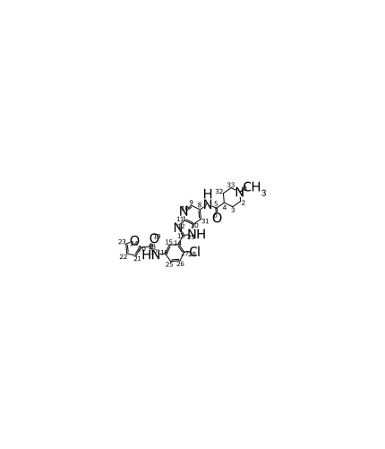 CN1CCC(C(=O)Nc2cnc3nc(-c4cc(NC(=O)c5ccco5)ccc4Cl)[nH]c3c2)CC1